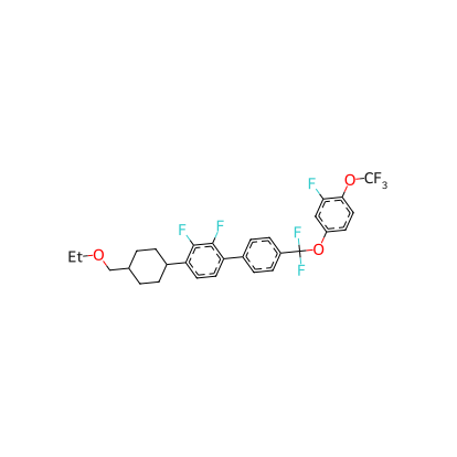 CCOCC1CCC(c2ccc(-c3ccc(C(F)(F)Oc4ccc(OC(F)(F)F)c(F)c4)cc3)c(F)c2F)CC1